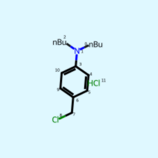 CCCCN(CCCC)c1ccc(CCl)cc1.Cl